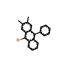 Cc1cc2c(Br)c3ccccc3c(-c3ccccc3)c2cc1C